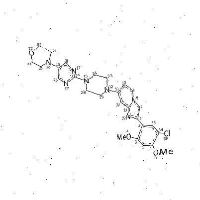 COc1cc(OC)c(-c2cn3ccc(N4CCN(c5ncc(N6CCOCC6)cn5)CC4)cc3n2)cc1Cl